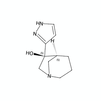 O[C@]1(c2cc[nH]n2)CN2CCC[C@H]1C2